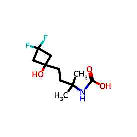 CC(C)(CCC1(O)CC(F)(F)C1)NC(=O)O